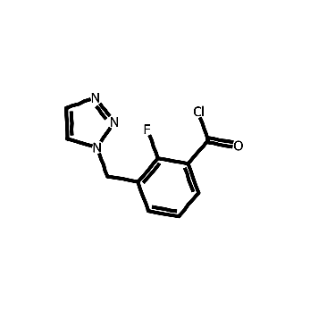 O=C(Cl)c1cccc(Cn2ccnn2)c1F